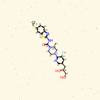 C[C@H]1CN(c2ncc(C[C@H](O)CO)cc2F)CCN1C(=O)Nc1nc2ccc(SC(F)(F)F)cc2s1